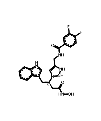 O=C(C[C@@H](Cc1c[nH]c2ccccc12)N1C=C(CNC(=O)c2ccc(F)c(F)c2)NN1)NO